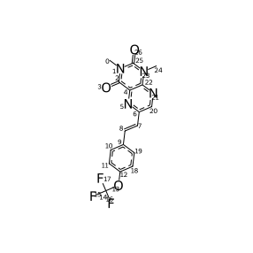 Cn1c(=O)c2nc(C=Cc3ccc(OC(F)(F)F)cc3)cnc2n(C)c1=O